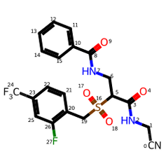 N#CCNC(=O)C(CNC(=O)c1ccccc1)S(=O)(=O)Cc1ccc(C(F)(F)F)cc1F